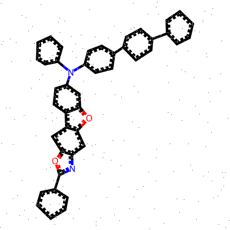 c1ccc(-c2ccc(-c3ccc(N(c4ccccc4)c4ccc5c(c4)oc4cc6nc(-c7ccccc7)oc6cc45)cc3)cc2)cc1